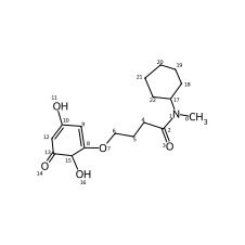 CN(C(=O)CCCOC1=CC(O)=CC(=O)C1O)C1CCCCC1